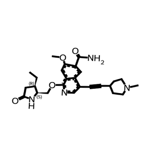 CC[C@@H]1CC(=O)N[C@@H]1COc1ncc(C#CC2CCN(C)CC2)c2cc(C(N)=O)c(OC)cc12